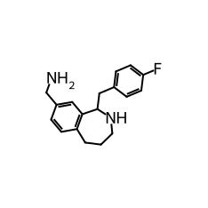 NCc1ccc2c(c1)C(Cc1ccc(F)cc1)NCCC2